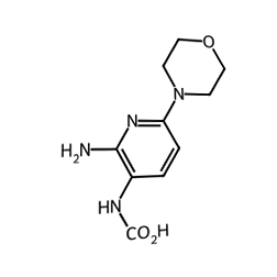 Nc1nc(N2CCOCC2)ccc1NC(=O)O